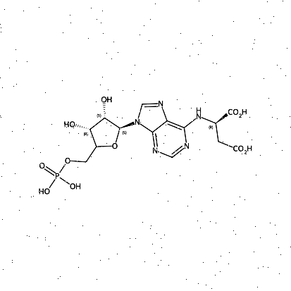 O=C(O)C[C@@H](Nc1ncnc2c1ncn2[C@H]1OC(COP(=O)(O)O)[C@H](O)[C@@H]1O)C(=O)O